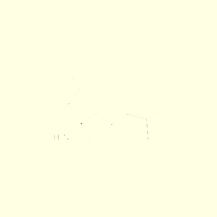 CCCC(C)(N)CCCC(C)C